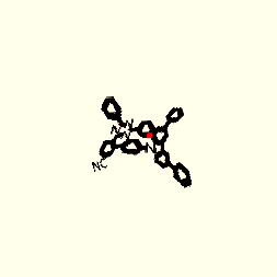 N#Cc1ccc(-c2nc(-c3ccccc3)nc(-c3ccccc3)n2)c(-c2ccc(-n3c4ccc(-c5ccccc5)cc4c4cc(-c5ccccc5)ccc43)cc2)c1